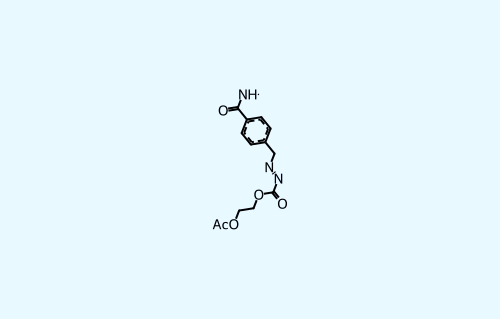 CC(=O)OCCOC(=O)N=NCc1ccc(C([NH])=O)cc1